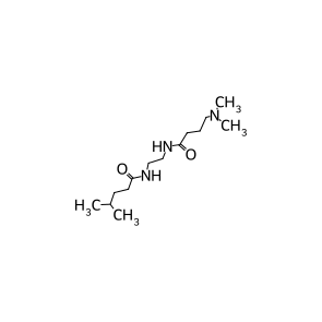 CC(C)CCC(=O)NCCNC(=O)CCCN(C)C